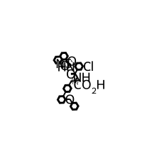 O=C(N[C@@H](Cc1ccc(-c2ccccc2Oc2ccccc2)cc1)C(=O)O)c1cc(Cl)ccc1NS(=O)(=O)c1cccc2cccnc12